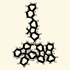 CC1(C)c2cc(-c3ccc4ccccc4c3)ccc2-c2ccc(N(c3ccc4c(c3)-c3ccccc3C43c4ccccc4-c4ccccc43)c3ccc4c(c3)C(c3ccccc3)(c3ccccc3)c3ccccc3-4)cc21